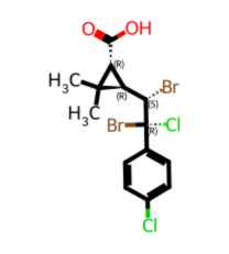 CC1(C)[C@H]([C@H](Br)[C@](Cl)(Br)c2ccc(Cl)cc2)[C@H]1C(=O)O